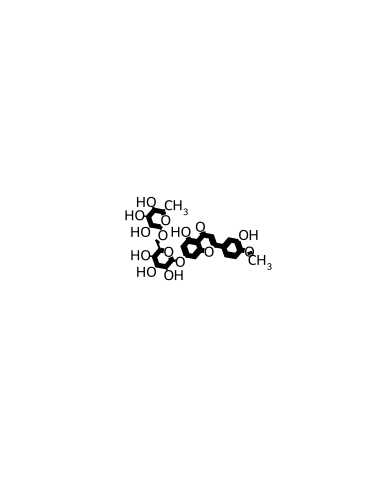 COc1ccc(-c2cc(=O)c3c(O)cc(O[C@@H]4O[C@H](CO[C@H]5O[C@@H](C)[C@H](O)[C@@H](O)[C@H]5O)[C@@H](O)[C@H](O)[C@H]4O)cc3o2)cc1O